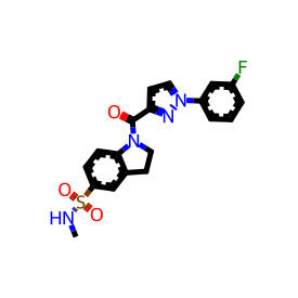 CNS(=O)(=O)c1ccc2c(c1)CCN2C(=O)c1ccn(-c2cccc(F)c2)n1